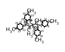 Cc1ccc(P(c2ccc(C)cc2)C(C)C(C)(C(C)C)C(C)P(c2ccc(C)cc2)c2ccc(C)cc2)cc1